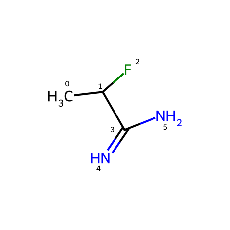 CC(F)C(=N)N